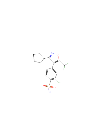 NS(=O)(=O)c1ccc(-c2c(C3CCCC3)noc2C(F)F)cc1F